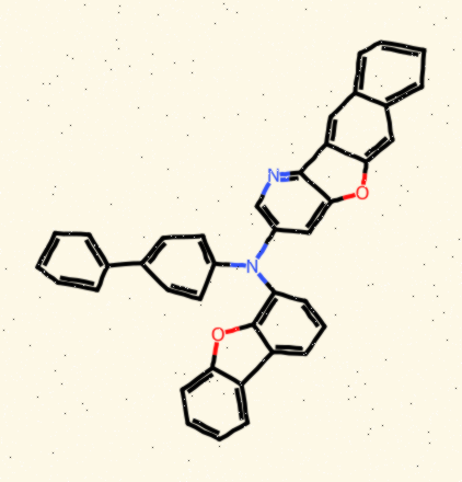 c1ccc(-c2ccc(N(c3cnc4c(c3)oc3cc5ccccc5cc34)c3cccc4c3oc3ccccc34)cc2)cc1